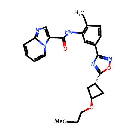 COCCO[C@H]1C[C@H](c2nc(-c3ccc(C)c(NC(=O)c4cnc5ccccn45)c3)no2)C1